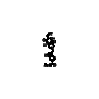 CCN1C(=O)C(CC(C)C)NC(=O)C12CCN(Cc1c[nH]c3cc(C(=O)OC)ccc13)CC2